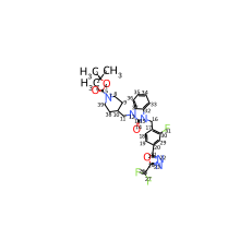 CC(C)(C)OC(=O)N1CCC(Cn2c(=O)n(Cc3ccc(-c4nnc(C(F)F)o4)cc3F)c3ccccc32)CC1